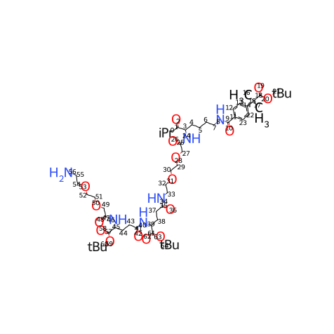 CC(C)C(=O)C(CCCCNC(=O)c1ccc(C(C)(C)C(=O)OC(C)(C)C)cc1)NC(=O)COCCOCCNC(=O)CCC(NC(=O)CCC(NC(=O)COCCOCCN)C(=O)OC(C)(C)C)C(=O)OC(C)(C)C